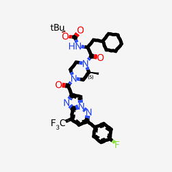 C[C@H]1CN(C(=O)c2cn3nc(-c4ccc(F)cc4)cc(C(F)(F)F)c3n2)CCN1C(=O)C(CC1CCCCC1)NC(=O)OC(C)(C)C